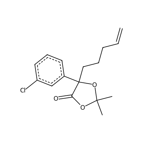 C=CCCCC1(c2cccc(Cl)c2)OC(C)(C)OC1=O